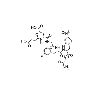 NC(=O)CNC(=O)[C@H](Cc1ccc([N+](=O)[O-])cc1)NC(=O)[C@H](Cc1cccc(F)c1)NC(=O)CNC(=O)[C@H](CCC(=O)O)NC(=O)CCC(=O)O